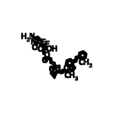 C=C1CCCC/C1=C/C=C1\CCC[C@@]2(C)C1CCC2[C@@H](C)/C=C/C(OC(=O)CCCC(=O)OCC1OC(n2ccc(N)nc2=O)C(F)(F)C1O)C1CC1